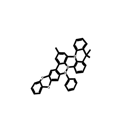 Cc1cc2c3c(c1)N1c4ccccc4C(C)(C)c4cccc(c41)B3N(c1ccccc1)c1cc3c(cc1-2)Sc1ccccc1S3